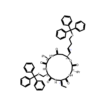 C/C=C1/NC(=O)[C@@H](CSC(c2ccccc2)(c2ccccc2)c2ccccc2)NC(=O)[C@@H](C(C)C)NC(=O)C[C@@H](/C=C/CCSC(c2ccccc2)(c2ccccc2)c2ccccc2)OC(=O)[C@H](C(C)C)NC1=O